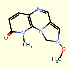 CON1C=C2C=Nc3ccc(=O)n(C)c3N2C1